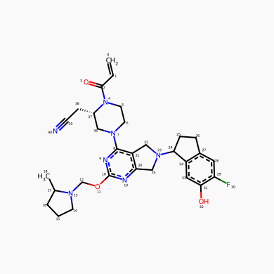 C=CC(=O)N1CCN(c2nc(OCN3CCCC3C)nc3c2CN(C2CCc4cc(F)c(O)cc42)C3)C[C@@H]1CC#N